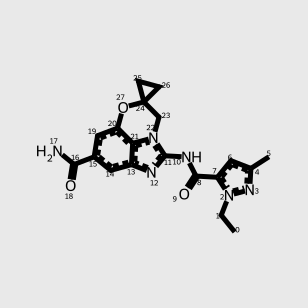 CCn1nc(C)cc1C(=O)Nc1nc2cc(C(N)=O)cc3c2n1CC1(CC1)O3